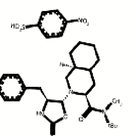 CN(C(=O)[C@@H]1CC2CCCC[C@@H]2CN1[C@@H]1OC(=O)N[C@H]1Cc1ccccc1)C(C)(C)C.O=[N+]([O-])c1ccc(S(=O)(=O)O)cc1